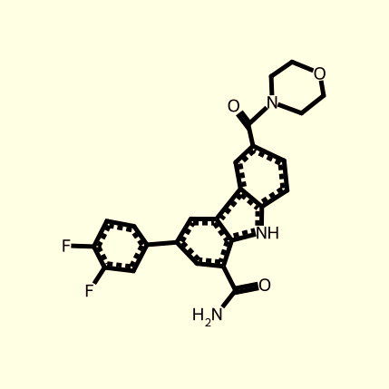 NC(=O)c1cc(-c2ccc(F)c(F)c2)cc2c1[nH]c1ccc(C(=O)N3CCOCC3)cc12